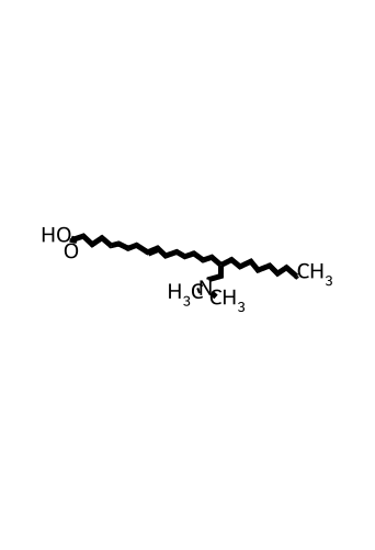 CCCCCCCCCC(CCCCCCC=CCCCCCCCC(=O)O)CCN(C)C